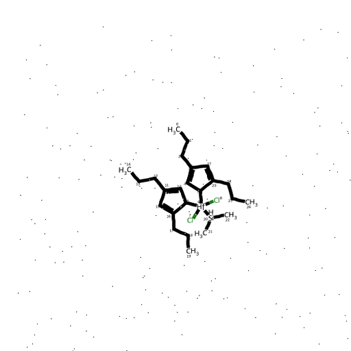 CCCC1=C[CH]([Hf]([Cl])([Cl])([CH]2C=C(CCC)C=C2CCC)[SiH](C)C)C(CCC)=C1